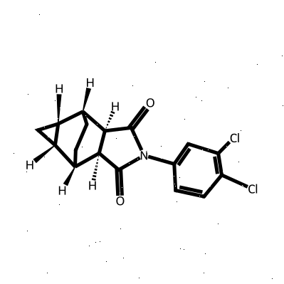 O=C1[C@@H]2[C@@H]3CC[C@@H]([C@@H]4C[C@@H]43)[C@@H]2C(=O)N1c1ccc(Cl)c(Cl)c1